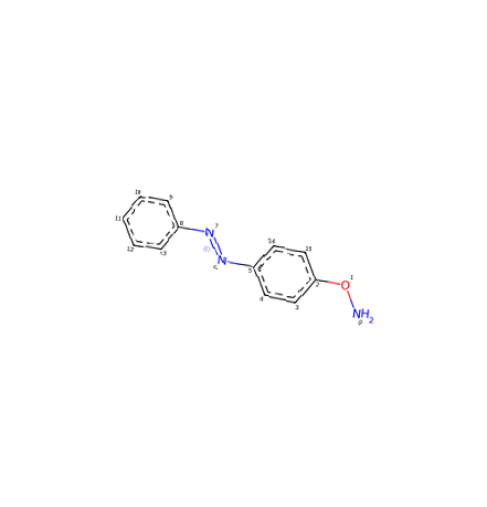 NOc1ccc(/N=N/c2ccccc2)cc1